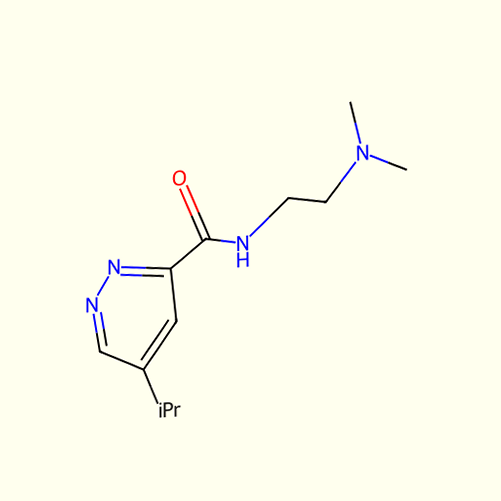 CC(C)c1cnnc(C(=O)NCCN(C)C)c1